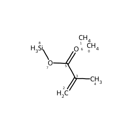 C.C.C=C(C)C(=O)O[SiH3]